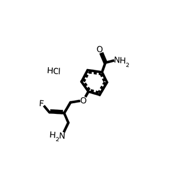 Cl.NC/C(=C/F)COc1ccc(C(N)=O)cc1